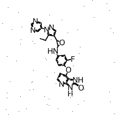 CCc1c(C2OC2Nc2ccc(Oc3ccnc4[nH]c(=O)[nH]c34)c(F)c2)cnn1-c1cncnc1